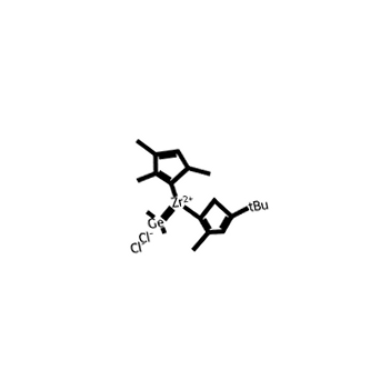 CC1=CC(C)[C]([Zr+2]([C]2=C(C)C=C(C(C)(C)C)C2)=[Ge]([CH3])[CH3])=C1C.[Cl-].[Cl-]